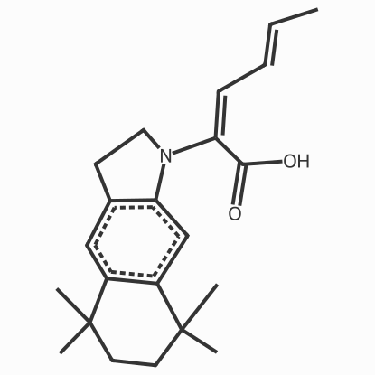 CC=CC=C(C(=O)O)N1CCc2cc3c(cc21)C(C)(C)CCC3(C)C